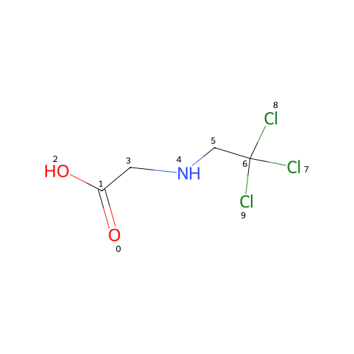 O=C(O)CNCC(Cl)(Cl)Cl